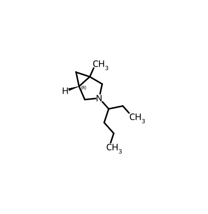 CCCC(CC)N1C[C@@H]2CC2(C)C1